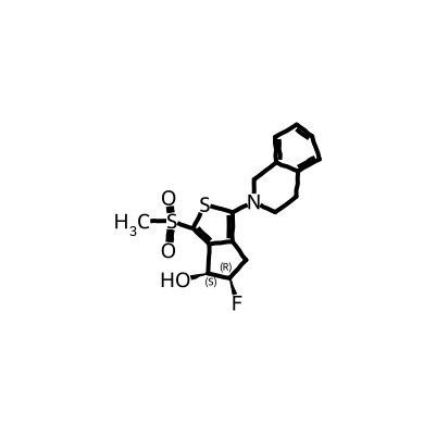 CS(=O)(=O)c1sc(N2CCc3ccccc3C2)c2c1[C@H](O)[C@H](F)C2